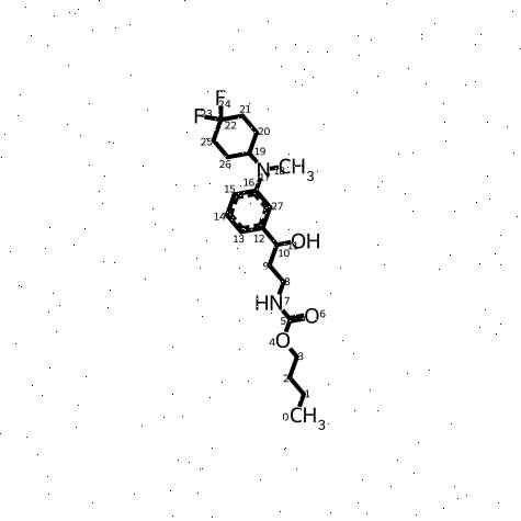 CCCCOC(=O)NCCC(O)c1cccc(N(C)C2CCC(F)(F)CC2)c1